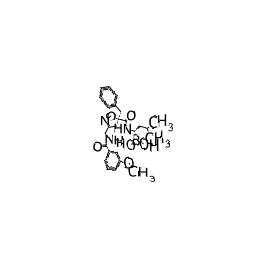 COc1cccc(C(=O)NCC2=NOC(Cc3ccccc3)(C(=O)N[C@@H](CC(C)C)B(O)O)C2)c1